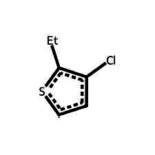 CCc1s[c]cc1Cl